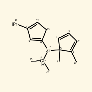 CC1=CC=C[C]1(C)[Zr]([C]1=CC(C(C)C)=CC1)[GeH]([CH3])[CH3]